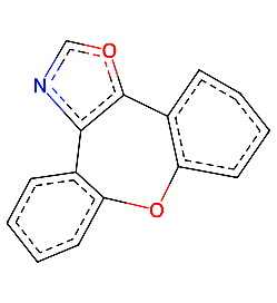 c1ccc2c(c1)Oc1ccccc1-c1ocnc1-2